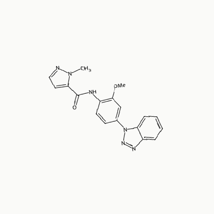 COc1cc(-n2nnc3ccccc32)ccc1NC(=O)c1ccnn1C